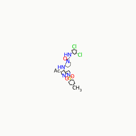 CC(=O)c1cnc2c(ccn2S(=O)(=O)c2ccc(C)cc2)c1N[C@@H]1CCCN(C(=O)CNc2cc(Cl)cc(Cl)c2)C1